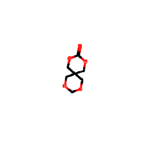 O=C1OCC2(COCOC2)CO1